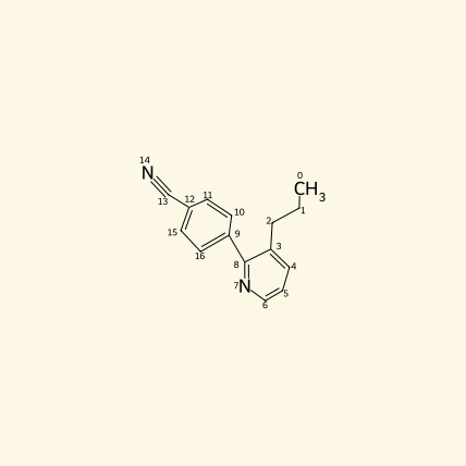 CCCc1cccnc1-c1ccc(C#N)cc1